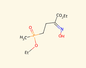 CCOC(=O)C(CCP(C)(=O)OCC)=NO